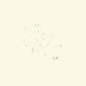 CC[C@H](OC)[C@@H](C)[C@H]1O[C@@H]1C(NCc1ccc(Cl)c(Cl)c1)C(C)(O)/C=C/C=C(\C)C1OC(=O)C[C@H](O)CC[C@@](C)(O)[C@@H](OC(C)=O)/C=C/[C@@H]1C